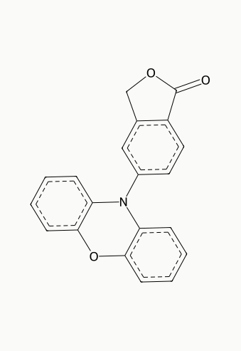 O=C1OCc2cc(N3c4ccccc4Oc4ccccc43)ccc21